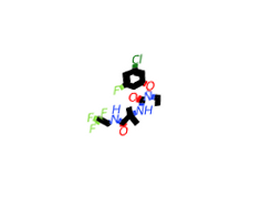 CCN(Oc1cc(F)cc(Cl)c1)C(=O)NC(C)(C)C(=O)NCC(F)(F)F